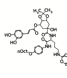 CCCCCCCCOc1ccc(NC(=O)C(CCCNC(=O)OC(C)(C)C)NC(=O)C2(O)CC(OC(=O)/C=C/c3ccc(O)c(O)c3)C3OC(C)(C)OC3C2)cc1